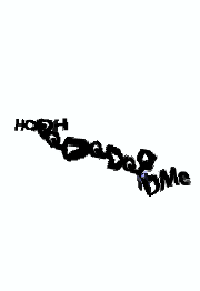 CO/N=C(/COc1ccc(COc2ccc(COCC(O)O)cc2)cc1)c1ccccc1